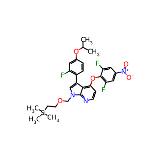 CC(C)Oc1ccc(-c2cn(COCC[Si](C)(C)C)c3nccc(Oc4c(F)cc([N+](=O)[O-])cc4F)c23)c(F)c1